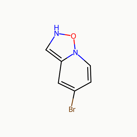 BrC1=CC2=CNON2C=C1